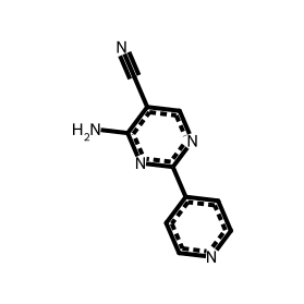 N#Cc1cnc(-c2ccncc2)nc1N